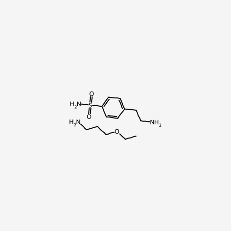 CCOCCCN.NCCc1ccc(S(N)(=O)=O)cc1